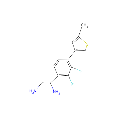 Cc1cc(-c2ccc(C(N)CN)c(F)c2F)cs1